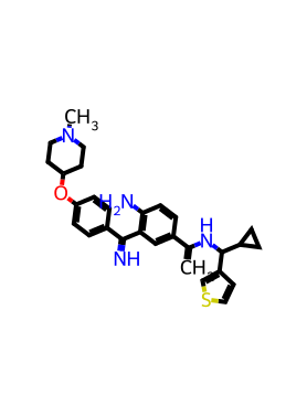 C=C(NC(c1ccsc1)C1CC1)c1ccc(N)c(C(=N)c2ccc(OC3CCN(C)CC3)cc2)c1